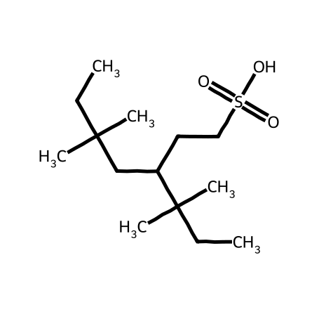 CCC(C)(C)CC(CCS(=O)(=O)O)C(C)(C)CC